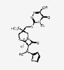 CCn1c(SCC2(C(=O)O)CS[C@@H]3C(N(C(C)=O)c4cccs4)C(=O)N3C2)nnc(O)c1=O